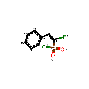 O=S(=O)(Cl)C(F)=Cc1ccccc1